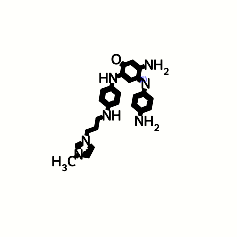 C[n+]1ccn(CCCNc2ccc(NC3=C/C(=N\c4ccc(N)cc4)C(N)=CC3=O)cc2)c1